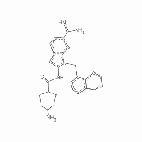 N=C(N)c1ccc2cc(NC(=O)C3CCC(N)CC3)n(Cc3cccc4ccccc34)c2c1